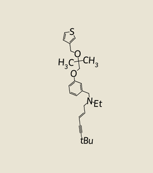 CCN(CC=CC#CC(C)(C)C)Cc1cccc(OCC(C)(C)OCc2ccsc2)c1